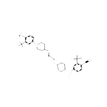 N#Cc1ccc(N[C@H]2CC[C@H](OCC(=O)NC3CCN(c4ccc([N+](=O)[O-])c(C(F)(F)F)c4)CC3)CC2)cc1C(F)(F)F